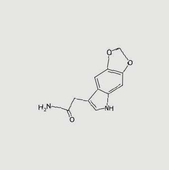 NC(=O)Cc1c[nH]c2cc3c(cc12)OCO3